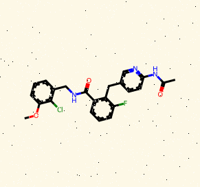 COc1cccc(CNC(=O)c2cccc(F)c2Cc2ccc(NC(C)=O)nc2)c1Cl